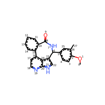 COc1ccc(C2NC(=O)c3ccccc3-c3ccnc4[nH]cc2c34)cc1C